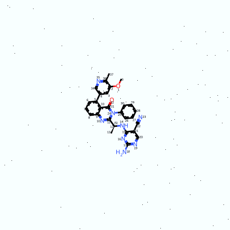 COc1cc(-c2cccc3nc([C@H](C)Nc4nc(N)ncc4C#N)n(-c4ccccc4)c(=O)c23)cnc1C